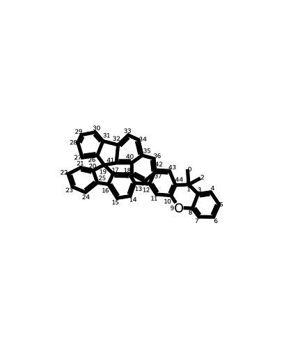 CC1(C)c2ccccc2Oc2cc(-c3ccc4c(c3)C3(c5ccccc5-4)c4ccccc4-c4ccc5ccccc5c43)ccc21